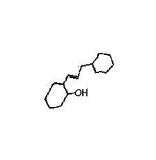 OC1CCCCC1C=C[CH]C1CCCCC1